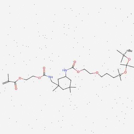 C=C(C)C(=O)OCCOC(=O)NCC1(C)CC(NC(=O)OCCOCCC[Si](C)(C)OC(C)(C)O[Si](C)(C)CCCC)CC(C)(C)C1